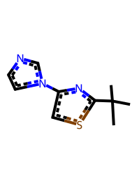 CC(C)(C)c1nc(-n2ccnc2)cs1